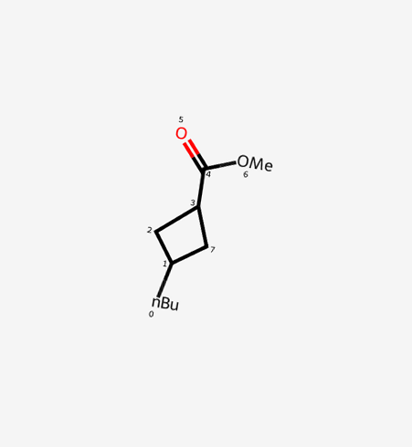 CCCCC1CC(C(=O)OC)C1